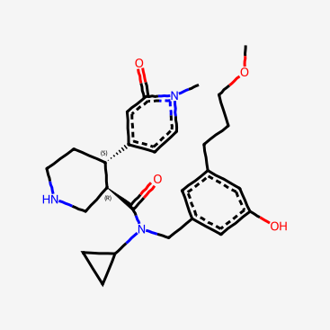 COCCCc1cc(O)cc(CN(C(=O)[C@H]2CNCC[C@@H]2c2ccn(C)c(=O)c2)C2CC2)c1